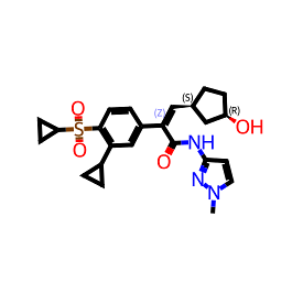 Cn1ccc(NC(=O)/C(=C\[C@H]2CC[C@@H](O)C2)c2ccc(S(=O)(=O)C3CC3)c(C3CC3)c2)n1